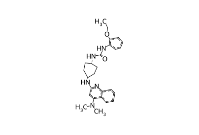 CCOc1ccccc1NC(=O)N[C@H]1CC[C@@H](Nc2cc(N(C)C)c3ccccc3n2)CC1